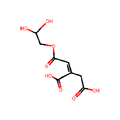 O=C(O)CC(=CC(=O)OCC(O)O)C(=O)O